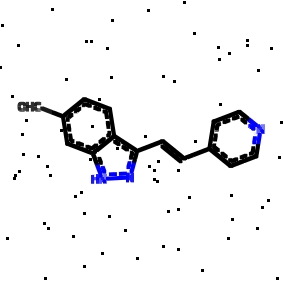 O=Cc1ccc2c(C=Cc3ccncc3)n[nH]c2c1